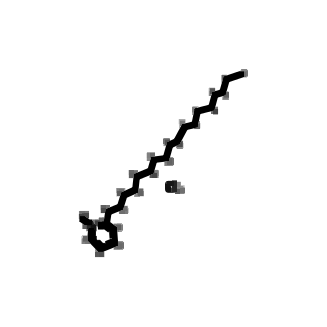 CCCCCCCCCCCCCCCCCCc1cccc[n+]1C.[Cl-]